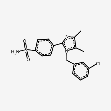 Cc1nc(-c2ccc(S(N)(=O)=O)cc2)n(Cc2cccc(Cl)c2)c1C